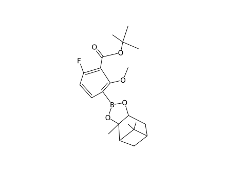 COc1c(B2OC3CC4CC(C4(C)C)C3(C)O2)ccc(F)c1C(=O)OC(C)(C)C